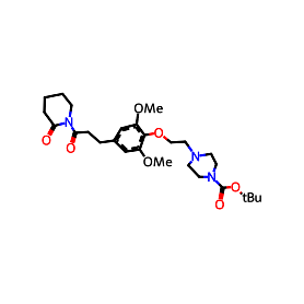 COc1cc(CCC(=O)N2CCCCC2=O)cc(OC)c1OCCN1CCN(C(=O)OC(C)(C)C)CC1